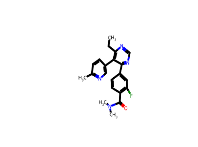 CCc1ncnc(-c2ccc(C(=O)N(C)C)c(F)c2)c1-c1ccc(C)nc1